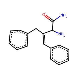 NC(=O)C(N)C(=Cc1ccccc1)Cc1ccccc1